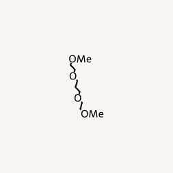 COCCOCCCOCCOC